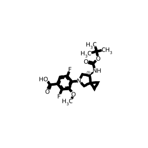 COc1c(F)c(C(=O)O)cc(F)c1N1C[C@@H](NC(=O)OC(C)(C)C)C2(CC2)C1